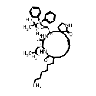 CCCCCCCC1CCCC=CCC2(CCNC2=O)C[C@@H](CO[Si](c2ccccc2)(c2ccccc2)C(C)(C)C)NC(=O)[C@H](CC(C)C)NC1=O